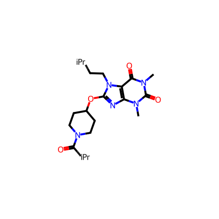 CC(C)CCn1c(OC2CCN(C(=O)C(C)C)CC2)nc2c1c(=O)n(C)c(=O)n2C